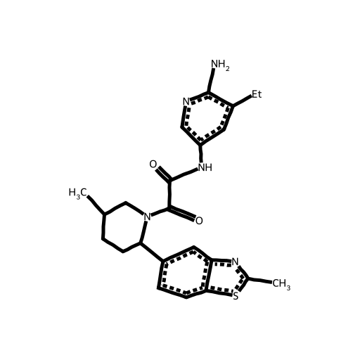 CCc1cc(NC(=O)C(=O)N2CC(C)CCC2c2ccc3sc(C)nc3c2)cnc1N